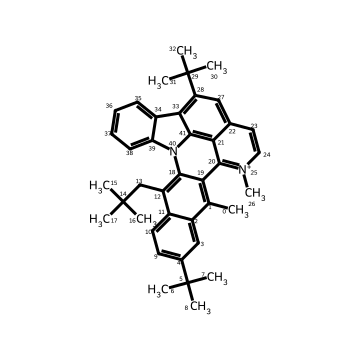 Cc1c2cc(C(C)(C)C)ccc2c(CC(C)(C)C)c2c1c1c3c(cc[n+]1C)cc(C(C)(C)C)c1c4ccccc4n2c13